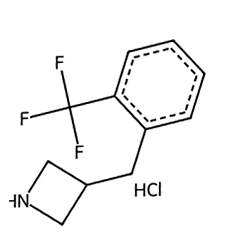 Cl.FC(F)(F)c1ccccc1CC1CNC1